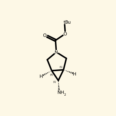 CC(C)(C)OC(=O)N1C[C@@H]2[C@@H](N)[C@@H]2C1